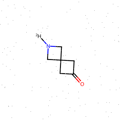 [2H]N1CC2(CC(=O)C2)C1